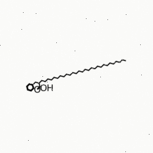 CCCCCCCCCCCCCCCCCCCCCCCCCCCCC(Cc1ccccc1)C(=O)O